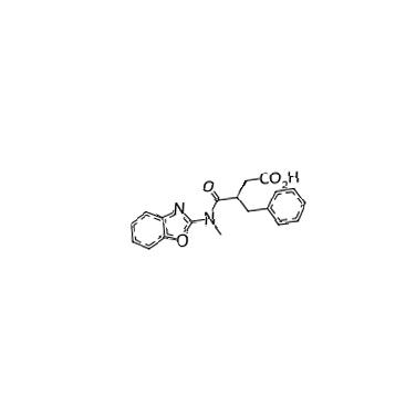 CN(C(=O)[C@@H](CC(=O)O)Cc1ccccc1)c1nc2ccccc2o1